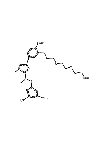 COCCOCCOCCOc1cc(-c2nc(C(C)Sc3nc(N)cc(N)n3)c(C)s2)ccc1OC